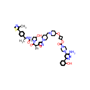 Cc1ncsc1-c1ccc([C@H](C)NC(=O)[C@@H]2C[C@@H](O)CN2C(=O)[C@@H](c2cc(N3CCC(CN4CCC(OC5CC(OC(=O)N6CCN(c7cc(-c8ccccc8O)nnc7N)CC6)C5)CC4)CC3)no2)C(C)C)cc1